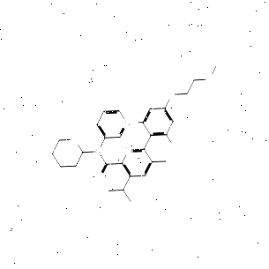 COCCOc1cc(F)c(-c2nc(C(=O)N(c3cccnc3)C3CCCCO3)c(C(C)C)cc2F)c(F)c1